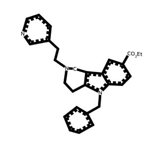 CCOC(=O)c1ccc2c(c1)c1c(n2Cc2ccccc2)CCN(CCc2cccnc2)C1